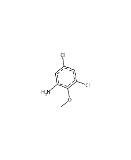 COc1c(N)cc(Cl)cc1Cl